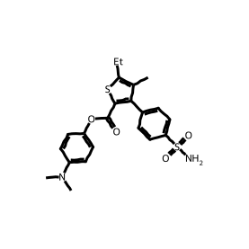 CCc1sc(C(=O)Oc2ccc(N(C)C)cc2)c(-c2ccc(S(N)(=O)=O)cc2)c1C